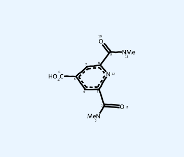 CNC(=O)c1cc(C(=O)O)cc(C(=O)NC)n1